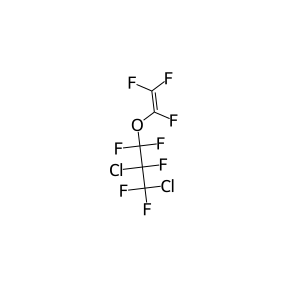 FC(F)=C(F)OC(F)(F)C(F)(Cl)C(F)(F)Cl